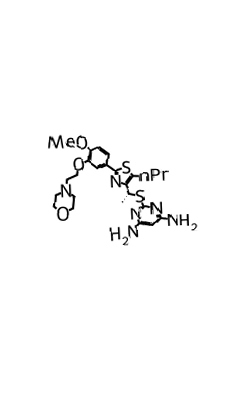 CCCc1sc(-c2ccc(OC)c(OCCN3CCOCC3)c2)nc1[C@@H](C)Sc1nc(N)cc(N)n1